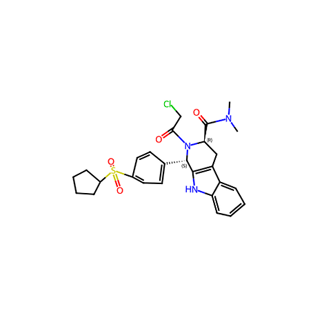 CN(C)C(=O)[C@H]1Cc2c([nH]c3ccccc23)[C@H](c2ccc(S(=O)(=O)C3CCCC3)cc2)N1C(=O)CCl